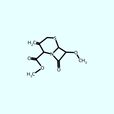 C=C1CSC2C(OC)C(=O)N2C1C(=O)OC